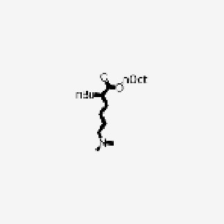 CCCCCCCCOC(=O)C(CCCC)CCCCN(C)C